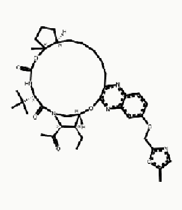 CC[C@@H]1[C@@H]2CN(C(=O)[C@H](C(C)(C)C)NC(=O)O[C@]3(C)CCC[C@H]3CCCCCc3nc4ccc(OCc5ncc(C)o5)cc4nc3O2)[C@@H]1C(C)=O